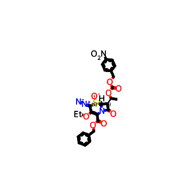 CCOC1=C(C(=O)OCc2ccccc2)N2C(=O)[C@H](C(C)OC(=O)OCc3ccc([N+](=O)[O-])cc3)[C@@H]2[S@@+]([O-])C1=[N+]=[N-]